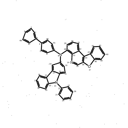 c1ccc(-c2ccc(N(c3ccc4c(c3)c3ccccc3n4-c3ccccc3)c3cccc4c3ncc3oc5ccccc5c34)cc2)cc1